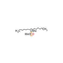 CCCCCCCCCCCCCCC.CO[PH](=O)OC